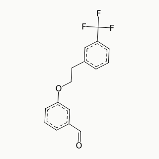 O=Cc1cccc(OCCc2cccc(C(F)(F)F)c2)c1